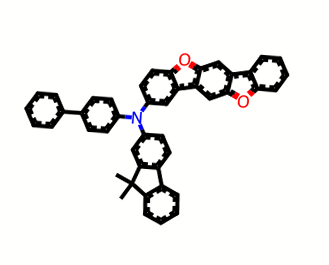 CC1(C)c2ccccc2-c2ccc(N(c3ccc(-c4ccccc4)cc3)c3ccc4oc5cc6c(cc5c4c3)oc3ccccc36)cc21